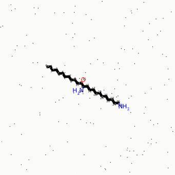 CCCCCCCCCCCC(=O)C(N)CCCCCCCCCCCN